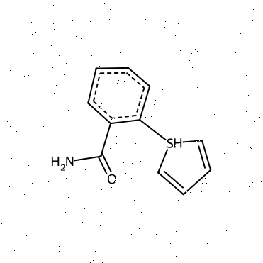 NC(=O)c1ccccc1[SH]1C=CC=C1